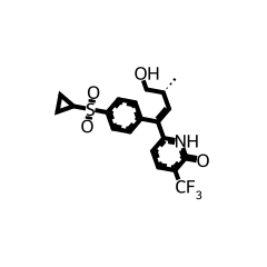 C[C@H](/C=C(\c1ccc(S(=O)(=O)C2CC2)cc1)c1ccc(C(F)(F)F)c(=O)[nH]1)CO